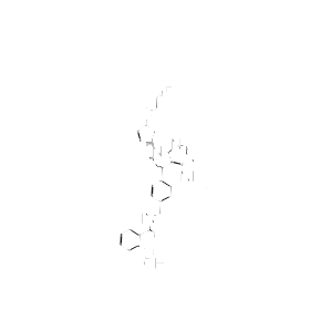 COCCOC1C=C[C@H](n2nc(-c3ccc(CNC(=O)c4ccccc4OC)cc3)c3c(N)ncnc32)C1